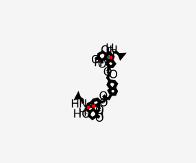 O=C(Cc1ccc2ccc(CC(=O)Oc3ccc4c5c3O[C@H]3C(=O)CC[C@@]6(O)[C@@H](C4)N(CC4CC4)CC[C@]536)cc2c1)Oc1ccc2c3c1O[C@H]1C(=O)CC[C@@]4(O)[C@@H](C2)C(NCC2CC2)CC[C@]314